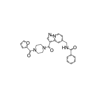 O=C(NCc1ccn2ncc(C(=O)N3CCN(C(=O)c4ccco4)CC3)c2c1)c1ccccc1